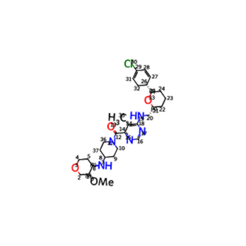 CO[C@H]1COCC[C@H]1NC1CCN(C(=O)c2ncnc(NC[C@H]3CCC[C@@H](C4C=CC(Cl)=CC4)O3)c2C)CC1